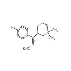 CC1(C)CC(/C(=C/C=O)c2ccc(F)cc2)CCO1